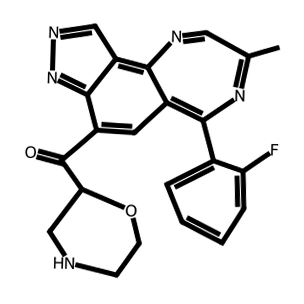 Cc1cnc2c(cc(C(=O)C3CNCCO3)c3nncc32)c(-c2ccccc2F)n1